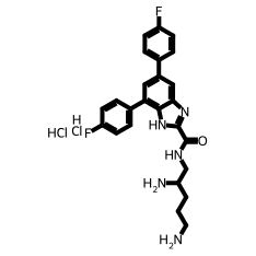 Cl.Cl.NCCCC(N)CNC(=O)c1nc2cc(-c3ccc(F)cc3)cc(-c3ccc(F)cc3)c2[nH]1